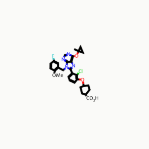 COc1ccc(F)cc1Cn1c(-c2cccc(OC3CCC(C(=O)O)CC3)c2Cl)nc2c(OC3(C)CC3)ncnc21